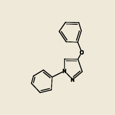 c1ccc(Oc2cnn(-c3ccccc3)c2)cc1